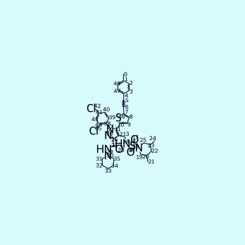 Cc1ccc(C#Cc2ccc(-c3c(CNS(=O)(=O)N4CC(C)CC(C)C4)c(C(=O)NN4CCCCC4)nn3-c3ccc(Cl)cc3Cl)s2)cc1